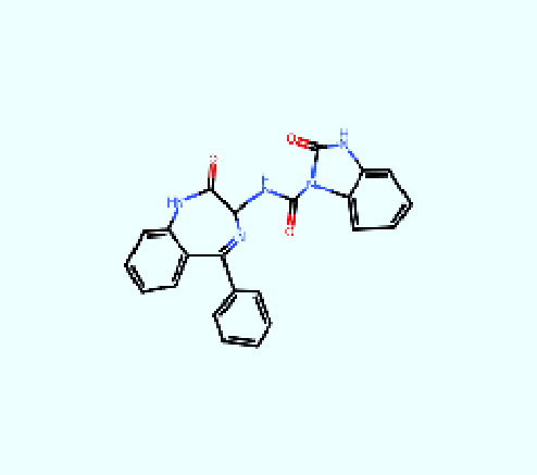 O=C1Nc2ccccc2C(c2ccccc2)=NC1NC(=O)n1c(=O)[nH]c2ccccc21